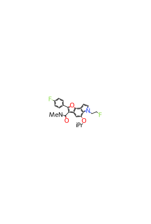 CNC(=O)c1c(-c2ccc(F)cc2)oc2c1cc(OC(C)C)c1c2ccn1CCF